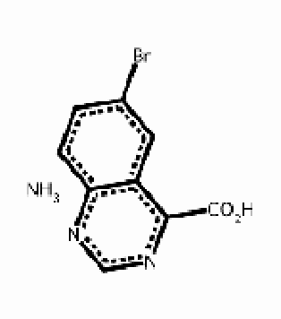 N.O=C(O)c1ncnc2ccc(Br)cc12